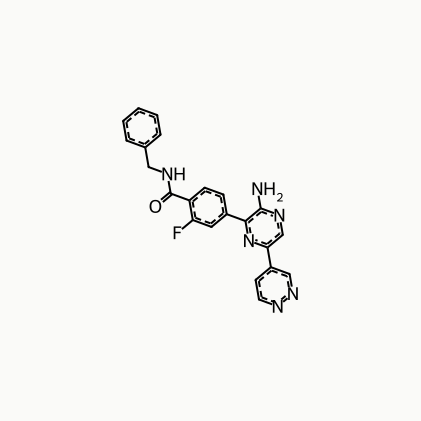 Nc1ncc(-c2ccnnc2)nc1-c1ccc(C(=O)NCc2ccccc2)c(F)c1